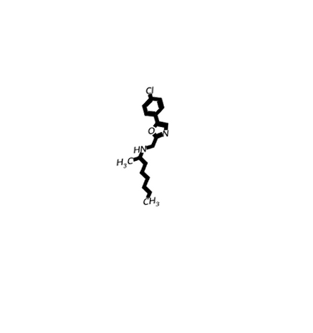 CCCCCCC(C)NCc1ncc(-c2ccc(Cl)cc2)o1